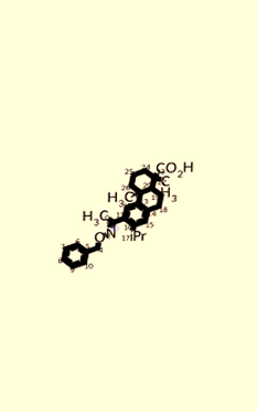 C/C(=N\OCc1ccccc1)c1cc2c(cc1C(C)C)CCC1C(C)(C(=O)O)CCC[C@]21C